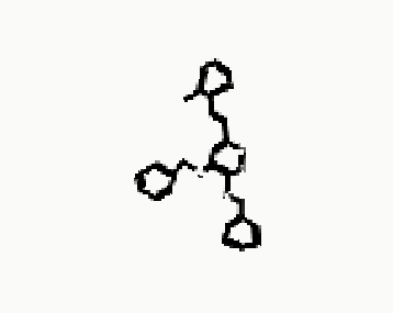 Cc1ccccc1C=Cc1cc(OCc2ccccc2)c(OCc2ccccc2)nn1